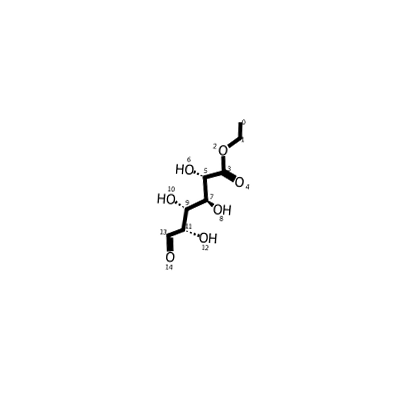 CCOC(=O)[C@@H](O)[C@@H](O)[C@@H](O)[C@H](O)C=O